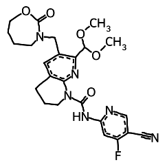 COC(OC)c1nc2c(cc1CN1CCCCOC1=O)CCCN2C(=O)Nc1cc(F)c(C#N)cn1